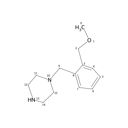 COCc1ccccc1CN1CCNCC1